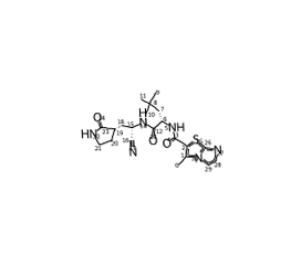 Cc1c(C(=O)N[C@@H](CC(C)(C)C)C(=O)N[C@H](C#N)C[C@@H]2CCNC2=O)sc2nccn12